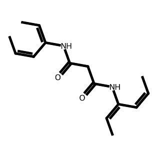 C/C=C\C(=C/C)NC(=O)CC(=O)NC(/C=C\C)=C/C